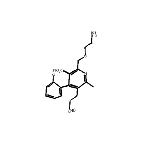 CCOC(=O)c1c(COCCN)nc(C)c(COC=O)c1-c1ccccc1Cl